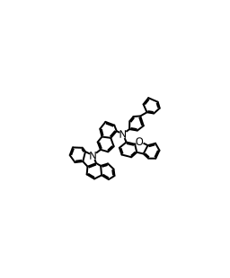 c1ccc(-c2ccc(N(c3cccc4cc(-n5c6ccccc6c6ccc7ccccc7c65)ccc34)c3cccc4c3oc3ccccc34)cc2)cc1